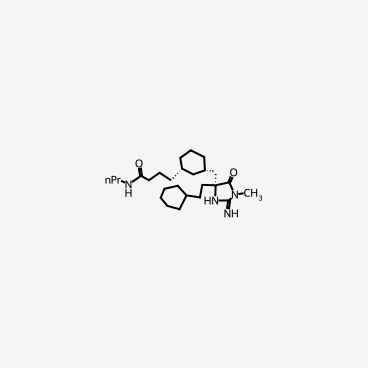 CCCNC(=O)CCC[C@@H]1CCC[C@H](C[C@@]2(CCC3CCCCC3)NC(=N)N(C)C2=O)C1